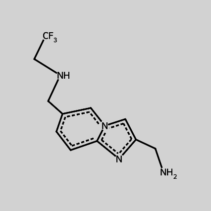 NCc1cn2cc(CNCC(F)(F)F)ccc2n1